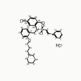 Cl.O=S(=O)(C=Cc1ccccc1)N(Cc1ccccc1OCCCN1CCCCC1)c1cc(Cl)ccc1Cl